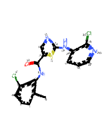 Cc1cccc(Cl)c1NC(=O)c1cnc(Nc2cccnc2Cl)s1